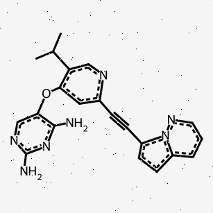 CC(C)c1cnc(C#Cc2ccc3cccnn23)cc1Oc1cnc(N)nc1N